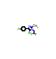 Cc1nc(-c2ccc(F)cc2)c(Br)n1CC(F)F